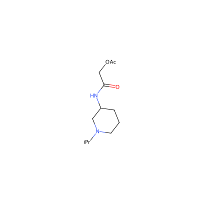 CC(=O)OCC(=O)NC1CCCN(C(C)C)C1